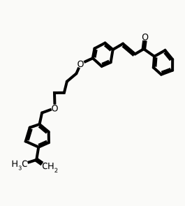 C=C(C)c1ccc(COCCCCOc2ccc(C=CC(=O)c3ccccc3)cc2)cc1